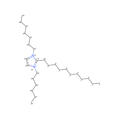 CCCCCCCCCCCc1n(CCCCCCC)cc[n+]1CCCCCC